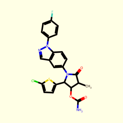 CC1C(=O)N(c2ccc3c(cnn3-c3ccc(F)cc3)c2)C(c2ccc(Cl)s2)C1OC(N)=O